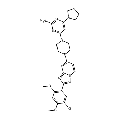 COc1cc(OC)c(-c2cn3ccc(N4CCN(c5cc(N6CCCC6)nc(N)n5)CC4)cc3n2)cc1Cl